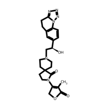 CC1=C(N2CCC3(CCN(C[C@H](O)c4ccc5c(c4)CCc4nnnn4-5)CC3)C2=O)COC1=O